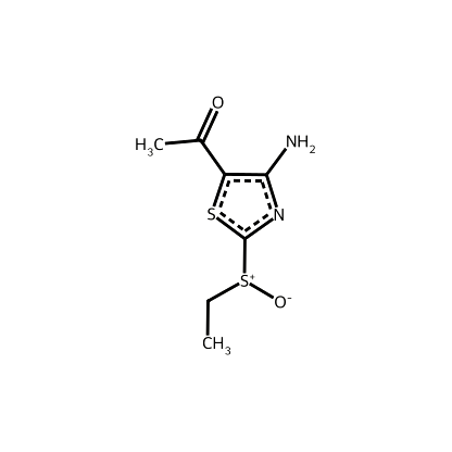 CC[S+]([O-])c1nc(N)c(C(C)=O)s1